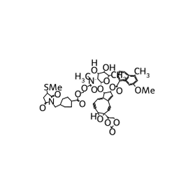 COc1cc(C)c2cccc(C(=O)O[C@@H]3C=C4C#C[C@]5(C6COC(=O)O6)O[C@@H]5C#CC=C4[C@H]3O[C@H]3O[C@H](C)[C@H](O)[C@H](O)[C@H]3N(C)C(=O)OCOC(=O)C3CCC(CN4C(=O)CC(SC)C4=O)CC3)c2c1